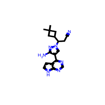 CC1(C)CC(C(CC#N)n2cc(-c3ncnc4[nH]ccc34)c(N)n2)C1